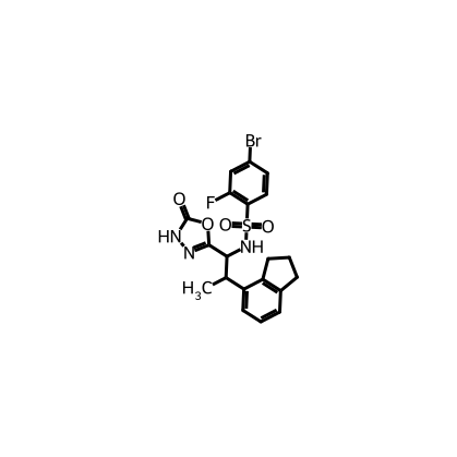 CC(c1cccc2c1CCC2)C(NS(=O)(=O)c1ccc(Br)cc1F)c1n[nH]c(=O)o1